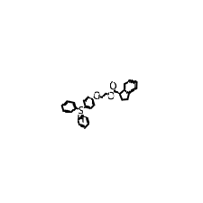 O=C(OCCOc1ccc([SH](c2ccccc2)c2ccccc2)cc1)C1CCc2ccccc21